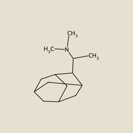 CC(C1C2CC3CC(C2)CC1C3)N(C)C